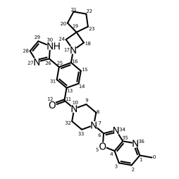 Cc1ccc2oc(N3CCN(C(=O)c4ccc(N5CC6(CCCC6)C5)c(-c5ncc[nH]5)c4)CC3)nc2n1